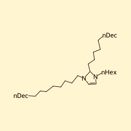 CCCCCCCCCCCCCCCCCCN1C=CN(CCCCCC)C1CCCCCCCCCCCCCCC